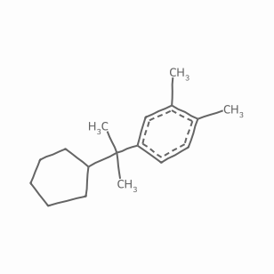 Cc1ccc(C(C)(C)C2CCCCC2)cc1C